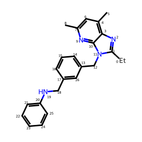 CCc1nc2c(C)cc(C)nc2n1Cc1cccc(CNc2ccccc2)c1